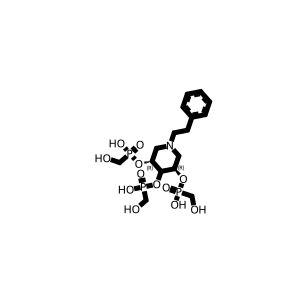 O=P(O)(CO)OC1[C@H](OP(=O)(O)CO)CN(CCc2ccccc2)C[C@H]1OP(=O)(O)CO